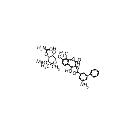 CO[C@@H]1[C@@H](OC(N)=O)[C@@H](O)[C@H](Oc2ccc3c(O)c(NC(=O)c4cc(N)cc(-c5ccccc5)c4)c(=O)oc3c2C)OC1(C)C